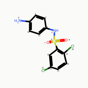 Nc1ccc(NS(=O)(=O)c2cc(Cl)ccc2Cl)cc1